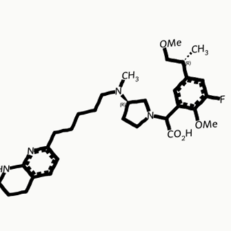 COC[C@H](C)c1cc(F)c(OC)c(C(C(=O)O)N2CC[C@@H](N(C)CCCCCc3ccc4c(n3)NCCC4)C2)c1